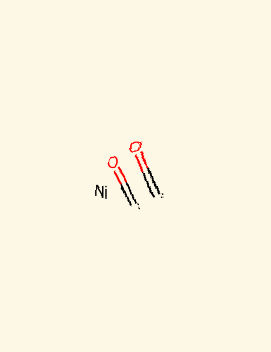 [C]=O.[C]=O.[Ni]